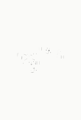 CCOC(=O)C1=C(C2CCC(c3cnn(CCC(=O)O)c3)CC2)NC(c2nccs2)=NC1c1ccc(F)c(F)c1Cl